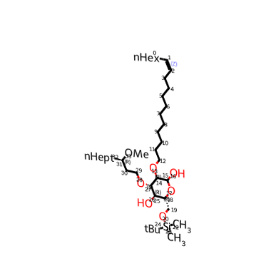 CCCCCC/C=C\CCCCCCCCCCO[C@H]1C(O)O[C@H](CO[Si](C)(C)C(C)(C)C)[C@@H](O)[C@@H]1OCC[C@@H](CCCCCCC)OC